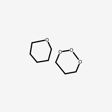 C1CCOCC1.C1COOOC1